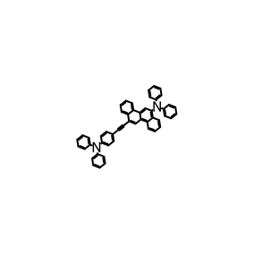 C(#Cc1cc2c3ccccc3c(N(c3ccccc3)c3ccccc3)cc2c2ccccc12)c1ccc(N(c2ccccc2)c2ccccc2)cc1